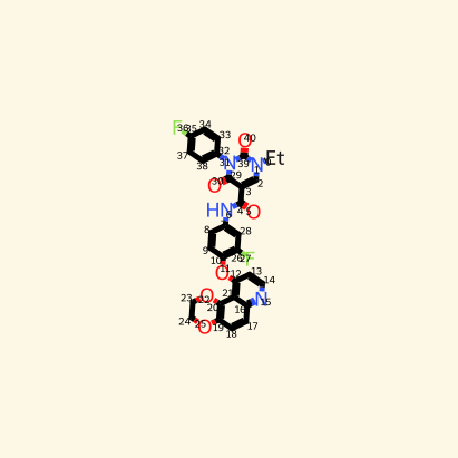 CCn1cc(C(=O)Nc2ccc(Oc3ccnc4ccc5c(c34)OCCO5)c(F)c2)c(=O)n(-c2ccc(F)cc2)c1=O